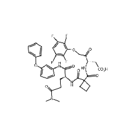 CN(C)C(=O)CC[C@H](NC(=O)C1(C(=O)N[C@@H](CC(=O)O)C(=O)COc2c(F)c(F)cc(F)c2F)CCC1)C(=O)Nc1cccc(Oc2ccccc2)c1